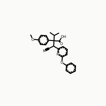 COc1ccc(C(C(=O)O)(C(C)C)C(C#N)c2cccc(Oc3ccccc3)n2)cc1